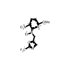 CCN(Cc1cnc(C(F)(F)F)s1)c1nc(OC)ccc1[N+](=O)[O-]